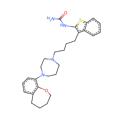 NC(=O)Nc1sc2ccccc2c1CCCCN1CCCN(c2cccc3c2OCCCC3)CC1